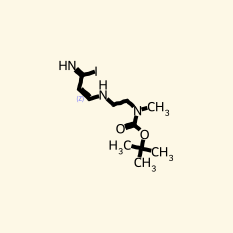 CN(CCN/C=C\C(=N)I)C(=O)OC(C)(C)C